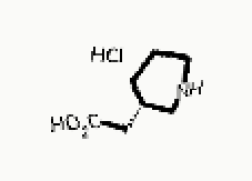 Cl.O=C(O)C[C@@H]1CCCNC1